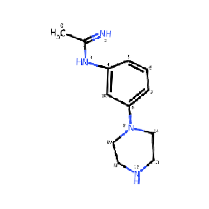 CC(=N)Nc1cccc(N2CCNCC2)c1